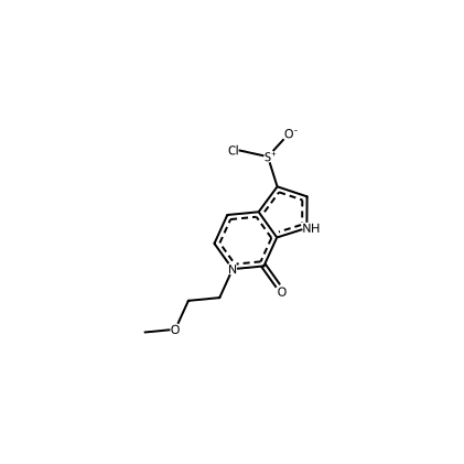 COCCn1ccc2c([S+]([O-])Cl)c[nH]c2c1=O